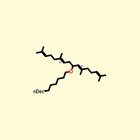 CCCCCCCCCCCCCCCCOC(/C=C(\C)CCC=C(C)C)C/C=C(\C)CCC=C(C)C